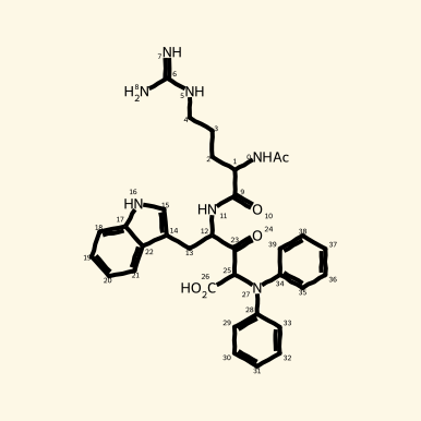 CC(=O)NC(CCCNC(=N)N)C(=O)NC(Cc1c[nH]c2ccccc12)C(=O)C(C(=O)O)N(c1ccccc1)c1ccccc1